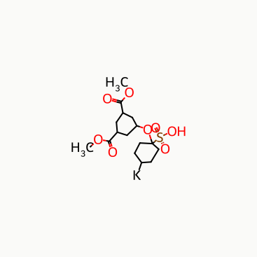 COC(=O)C1CC(OC2(S(=O)(=O)O)CC[CH]([K])CC2)CC(C(=O)OC)C1